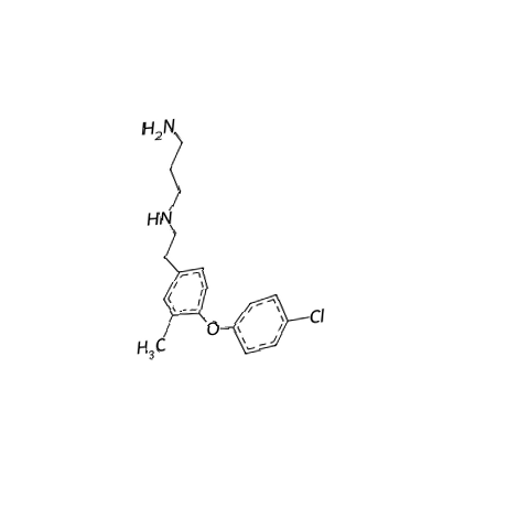 Cc1cc(CCNCCCN)ccc1Oc1ccc(Cl)cc1